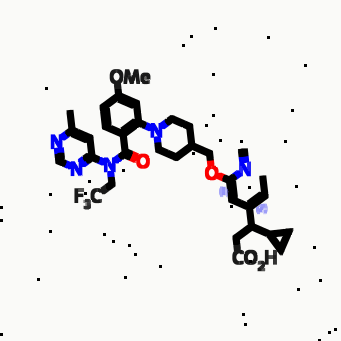 C=N/C(=C\C(=C/C)C(CC(=O)O)C1CC1)OCC1CCN(c2cc(OC)ccc2C(=O)N(CC(F)(F)F)c2cc(C)ncn2)CC1